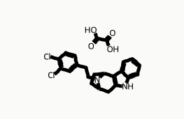 Clc1ccc(CCN2C3CCC2c2c([nH]c4ccccc24)C3)cc1Cl.O=C(O)C(=O)O